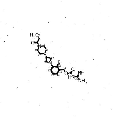 CCC(=O)N1CCC(C2CN(c3cccc(COC(=O)NC(=N)N)c3F)C2)CC1